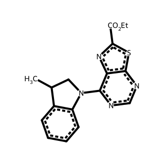 CCOC(=O)c1nc2c(N3CC(C)c4ccccc43)ncnc2s1